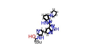 CC(C)(C)C(O)Nc1cncc(-c2cnc3[nH]nc(-c4nc5c(N6CCCCC6)cccc5[nH]4)c3c2)c1